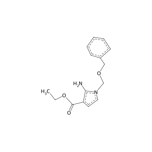 CCOC(=O)c1ccn(COCc2ccccc2)c1N